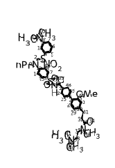 CCCN(CSc1cccc(N(C)C)c1)c1ccc(S(=O)(=O)NC(=O)c2ccc(-c3ccc(CCC(=O)N(C)CCN(C)C)cc3OC)cc2)cc1[N+](=O)[O-]